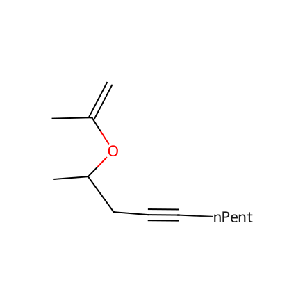 C=C(C)OC(C)CC#CCCCCC